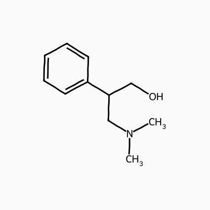 CN(C)CC(CO)c1ccccc1